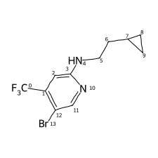 FC(F)(F)c1cc(NCCC2CC2)ncc1Br